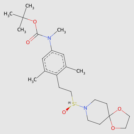 Cc1cc(N(C)C(=O)OC(C)(C)C)cc(C)c1CC[S@+]([O-])N1CCC2(CC1)OCCO2